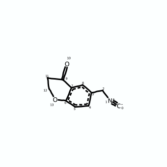 [C-]#[N+]Cc1ccc2c(c1)C(=O)CCO2